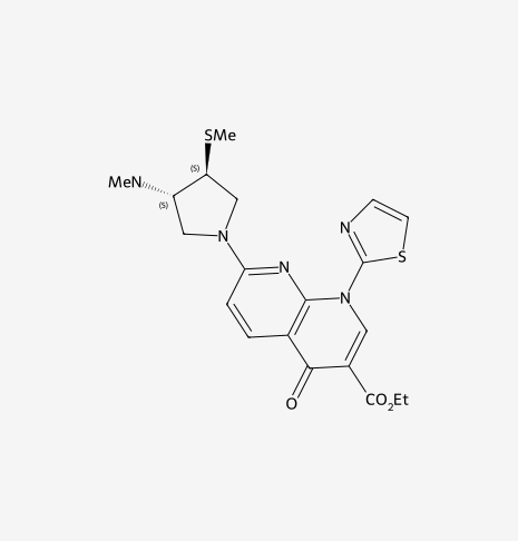 CCOC(=O)c1cn(-c2nccs2)c2nc(N3C[C@H](NC)[C@@H](SC)C3)ccc2c1=O